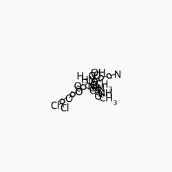 CC(=O)Nc1nc(C)c(S(=O)(=O)N2Cc3cc4c(cc3CC2C(=O)NC(C)(Cc2ccc(-c3ccc(C#N)cc3)cc2)C(=O)O)OCC(c2ccc(OCc3ccc(Cl)c(Cl)c3)cc2)O4)s1